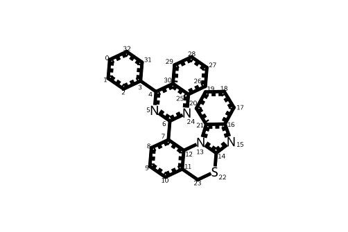 c1ccc(-c2nc(-c3cccc4c3-n3c(nc5ccccc53)SC4)nc3ccccc23)cc1